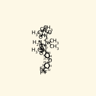 CC(C)N(CCN1C(=O)N(C)C(C)(C)C1=O)[C@@H](CN(c1ccc(Oc2ccc(C(F)(F)F)cc2)cc1)S(C)(=O)=O)C(N)=O